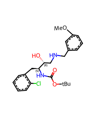 COc1cccc(CNC[C@@H](O)[C@H](Cc2ccccc2Cl)NC(=O)OC(C)(C)C)c1